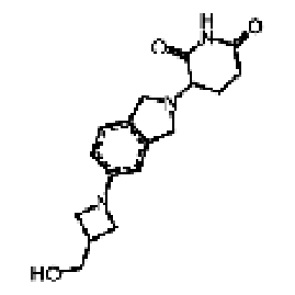 O=C1CCC(N2Cc3ccc(N4CC(CO)C4)cc3C2)C(=O)N1